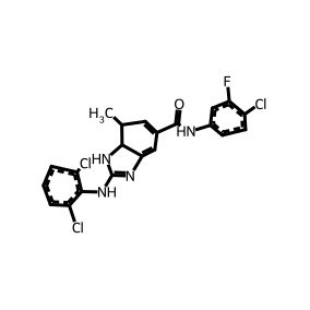 CC1C=C(C(=O)Nc2ccc(Cl)c(F)c2)C=C2N=C(Nc3c(Cl)cccc3Cl)NC21